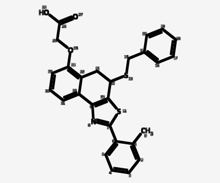 Cc1ccccc1-c1nc2c(s1)C(SCc1ccccc1)Cc1c(OCC(=O)O)cccc1-2